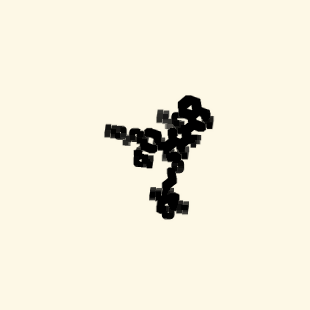 Cc1cccc2cncc(-c3ncc4c(N5CCN(C(=O)O)[C@@H](CC#N)C5)nc(OCCCN5C[C@@H]6C[C@H]5CO6)nc4c3F)c12